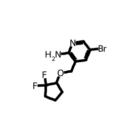 Nc1ncc(Br)cc1COC1CCCC1(F)F